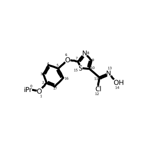 CC(C)Oc1ccc(Oc2ncc(/C(Cl)=N/O)s2)cc1